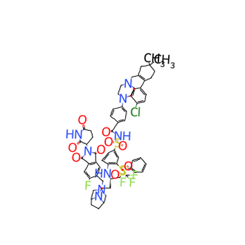 CC1(C)CCC(c2ccc(Cl)cc2)=C(CN2CCN(c3ccc(C(=O)NS(=O)(=O)c4ccc(N[C@H](CCN5C6CCC5CN(Cc5cc7c(cc5F)C(=O)N(C5CCC(=O)NC5=O)C7=O)C6)CSc5ccccc5)c(S(=O)(=O)C(F)(F)F)c4)cc3)CC2)C1